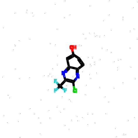 Oc1ccc2nc(Cl)c(C(F)(F)F)nc2c1